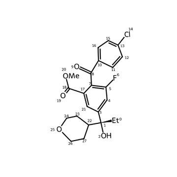 CC[C@](O)(c1cc(F)c(C(=O)c2ccc(Cl)cc2)c(C(=O)OC)c1)C1CCOCC1